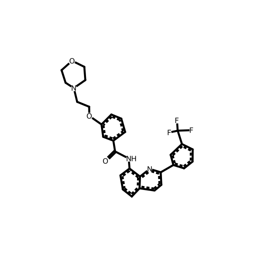 O=C(Nc1cccc2ccc(-c3cccc(C(F)(F)F)c3)nc12)c1cccc(OCCN2CCOCC2)c1